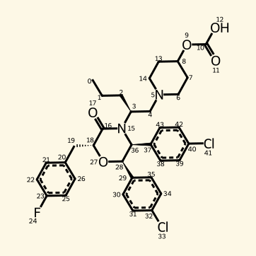 CCC[C@@H](CN1CCC(OC(=O)O)CC1)N1C(=O)[C@@H](Cc2ccc(F)cc2)O[C@H](c2ccc(Cl)cc2)[C@@H]1c1ccc(Cl)cc1